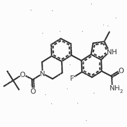 Cc1cc2c(-c3cccc4c3CCN(C(=O)OC(C)(C)C)C4)c(F)cc(C(N)=O)c2[nH]1